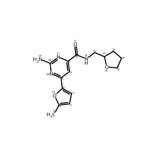 Cc1ccc(-c2cc(C(=O)NCC3CCCO3)nc(N)n2)o1